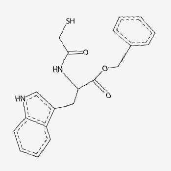 O=C(CS)NC(Cc1c[nH]c2ccccc12)C(=O)OCc1ccccc1